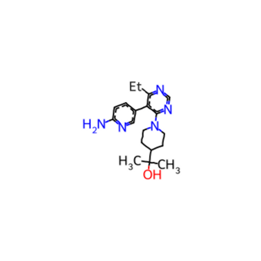 CCc1ncnc(N2CCC(C(C)(C)O)CC2)c1-c1ccc(N)nc1